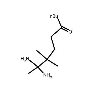 CCCCC(=O)CCC(C)(C)C(C)(N)N